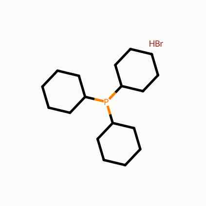 Br.C1CCC(P(C2CCCCC2)C2CCCCC2)CC1